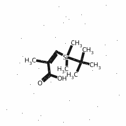 CC(=C[Si](C)(C)C(C)(C)C)C(=O)O